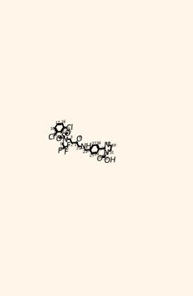 O=C(CCN(CC(F)(F)F)S(=O)(=O)c1c(Cl)cccc1Cl)CNCc1ccc(C2=NCCN2C(=O)O)cc1